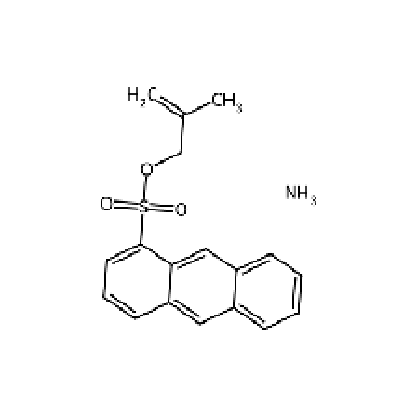 C=C(C)COS(=O)(=O)c1cccc2cc3ccccc3cc12.N